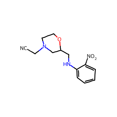 N#CCN1CCOC(CNc2ccccc2[N+](=O)[O-])C1